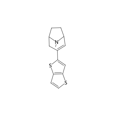 CN1C2C=C(c3cc4sccc4s3)CC1CC2